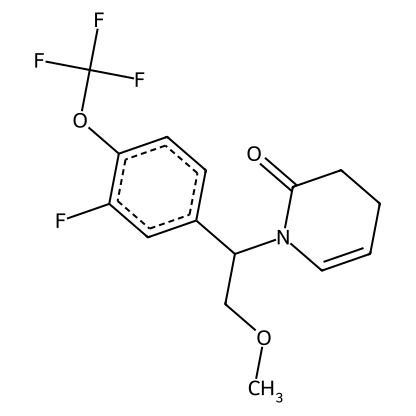 COCC(c1ccc(OC(F)(F)F)c(F)c1)N1C=CCCC1=O